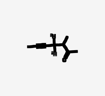 [2H]C([2H])(C#CC)C(C)C(C)=O